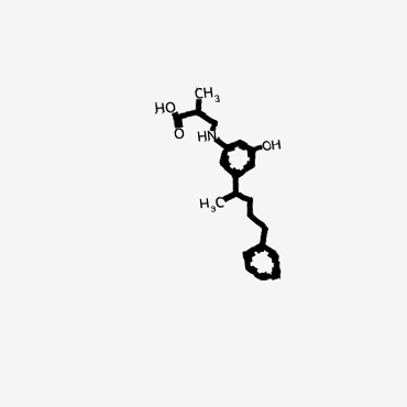 CC(CNc1cc(O)cc(C(C)CCCc2ccccc2)c1)C(=O)O